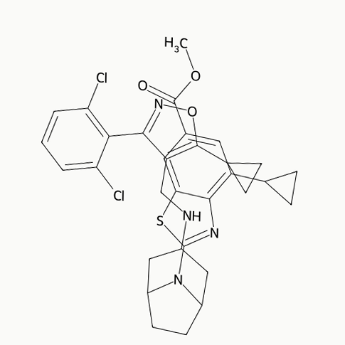 COC(=O)c1cc(C2CC2)c2nc(N3C4CCC3CC(NCc3c(-c5c(Cl)cccc5Cl)noc3C3CC3)C4)sc2c1